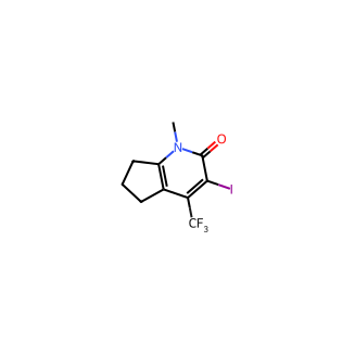 Cn1c2c(c(C(F)(F)F)c(I)c1=O)CCC2